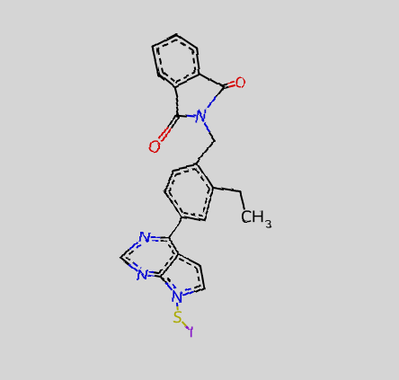 CCc1cc(-c2ncnc3c2ccn3SI)ccc1CN1C(=O)c2ccccc2C1=O